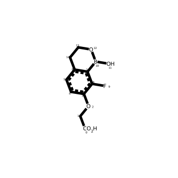 O=C(O)COc1ccc2c(c1F)B(O)OCC2